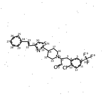 O=CC(Cc1cc(C(F)(F)F)ccc1Cl)N1CCC(c2nc(C=Cc3ccccc3)cs2)CC1